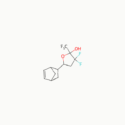 OC1(C(F)(F)F)OC(C2CC3C=CC2C3)CC1(F)F